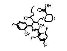 CCOC(=O)C1=C(CN2CCOCC2C(=O)O)NC(c2c(F)cc(F)cc2F)=NC1c1ccc(F)cc1Br